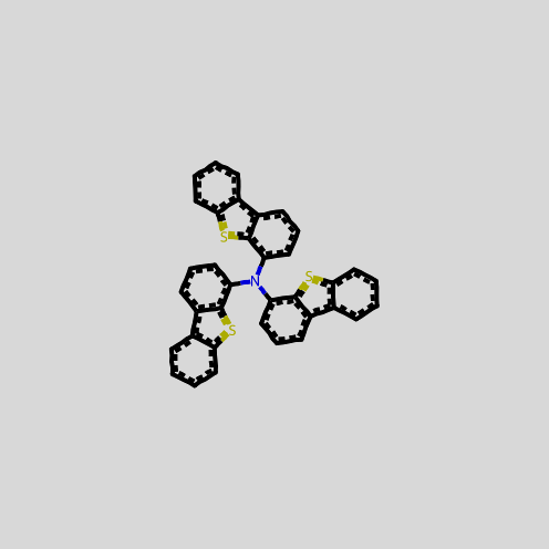 c1ccc2c(c1)sc1c(N(c3cccc4c3sc3ccccc34)c3cccc4c3sc3ccccc34)cccc12